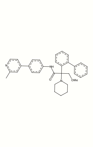 COCC(C(=O)Nc1ccc(-c2ccnc(C)c2)cc1)(c1ccccc1-c1ccccc1)N1CCCCC1